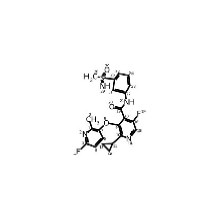 Cc1nc(F)ccc1Oc1c(C2CC2)ncc(F)c1C(=O)Nc1cccc([S@](C)(=N)=O)c1